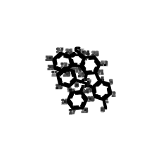 Cc1ccc2c(c1)[Si](c1ccccc1)(c1ccccc1)c1c-2ccc2sc3ccccc3c12